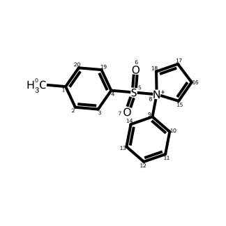 Cc1ccc(S(=O)(=O)[N+]2(c3ccccc3)C=CC=C2)cc1